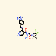 Cn1cnc2cc(/C=C/c3cnccc3C(=O)NCC(=O)N3CC(F)(F)C[C@H]3C#N)ccc21